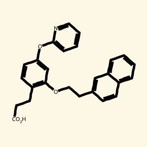 O=C(O)CCc1ccc(Oc2ccccn2)cc1OCCc1ccc2ccccc2c1